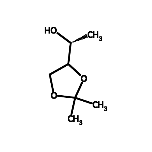 C[C@@H](O)C1COC(C)(C)O1